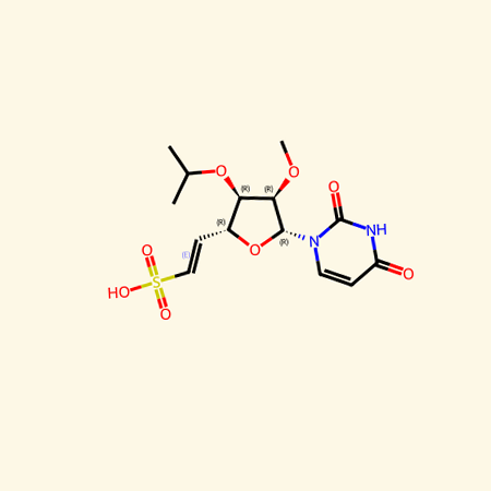 CO[C@@H]1[C@H](OC(C)C)[C@@H](/C=C/S(=O)(=O)O)O[C@H]1n1ccc(=O)[nH]c1=O